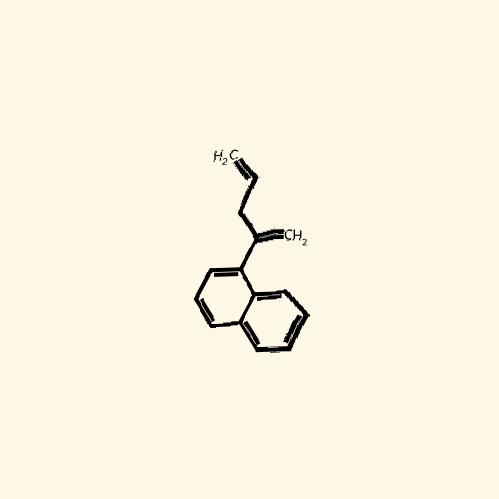 C=CCC(=C)c1cccc2ccccc12